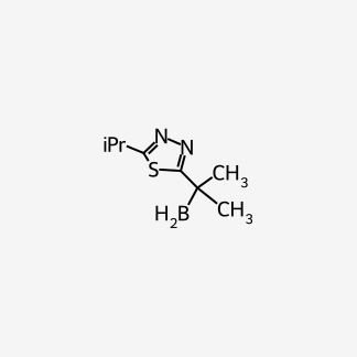 BC(C)(C)c1nnc(C(C)C)s1